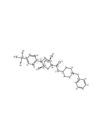 O=C(OC1CCN(Cc2ccccc2)CC1)N1C[C@H]2C[C@@H]1CN2c1ncc(C(F)(F)F)cn1